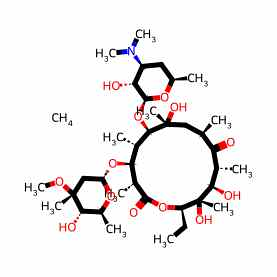 C.CC[C@H]1OC(=O)[C@H](C)[C@@H](O[C@H]2C[C@@](C)(OC)[C@@H](O)[C@H](C)O2)[C@H](C)[C@@H](O[C@@H]2O[C@H](C)C[C@H](N(C)C)[C@H]2O)[C@](C)(O)C[C@@H](C)C(=O)[C@H](C)[C@@H](O)[C@]1(C)O